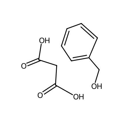 O=C(O)CC(=O)O.OCc1ccccc1